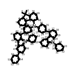 CC1(C)c2ccccc2-c2c(N(c3ccc(-c4cccc5c4c4ccccc4n5-c4ccccc4)cc3)c3ccc(-c4cccc5c6cc(-c7ccccc7)ccc6n(-c6ccccc6)c45)cc3)cccc21